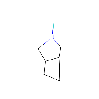 FN1CC2CCC2C1